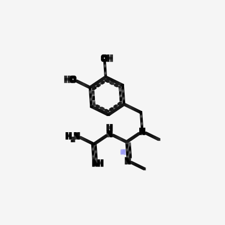 C/N=C(/NC(=N)N)N(C)Cc1ccc(O)c(O)c1